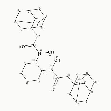 O=C(CC12CC3CC(CC(C3)C1)C2)N(O)C1CCCCC1N(O)C(=O)CC12CC3CC(CC(C3)C1)C2